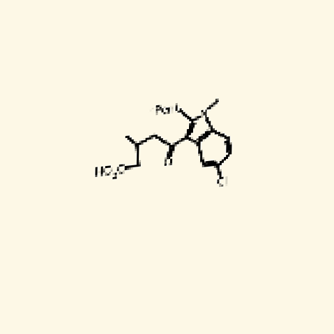 CCCCCc1c(C(=O)CC(C)CC(=O)O)c2cc(Cl)ccc2n1C